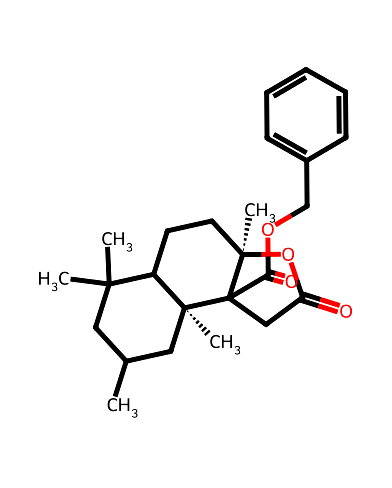 CC1CC(C)(C)C2CC[C@@]3(C)OC(=O)CC3(C(=O)OCc3ccccc3)[C@@]2(C)C1